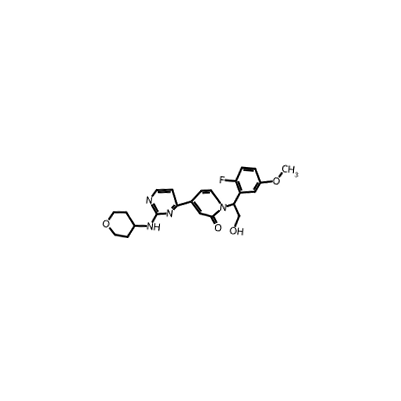 COc1ccc(F)c(C(CO)n2ccc(-c3ccnc(NC4CCOCC4)n3)cc2=O)c1